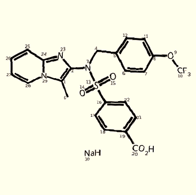 Cc1c(N(Cc2ccc(OC(F)(F)F)cc2)S(=O)(=O)c2ccc(C(=O)O)cc2)nc2ccccn12.[NaH]